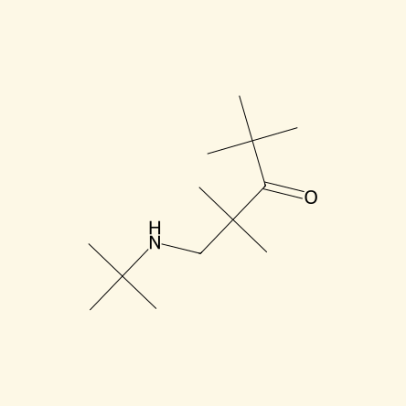 CC(C)(C)NCC(C)(C)C(=O)C(C)(C)C